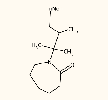 CCCCCCCCCCC(C)C(C)(C)N1CCCCCC1=O